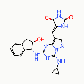 O=C1NC(=O)/C(=C/c2cnn3c(NC4CC4)nc(N[C@@H]4c5ccccc5C[C@H]4O)nc23)N1